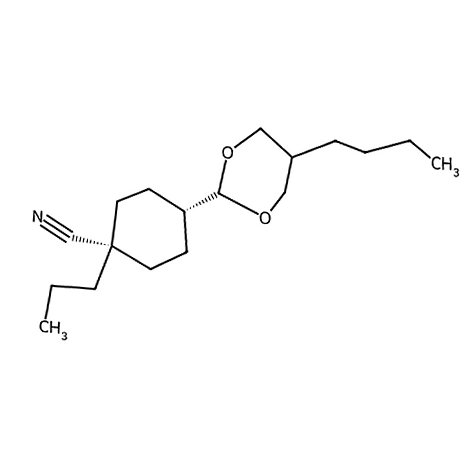 CCCCC1COC([C@H]2CC[C@](C#N)(CCC)CC2)OC1